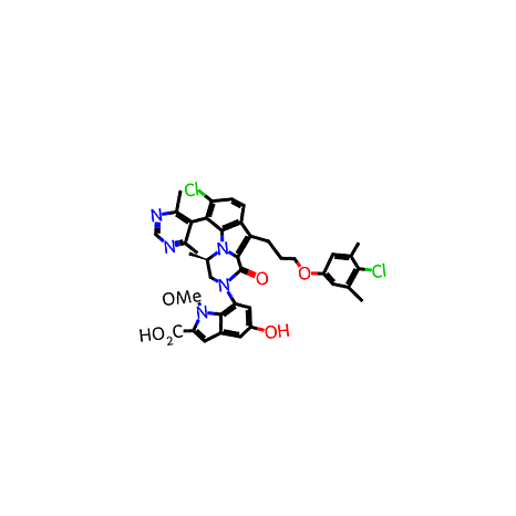 COn1c(C(=O)O)cc2cc(O)cc(N3C[C@@H](C)n4c(c(CCCOc5cc(C)c(Cl)c(C)c5)c5ccc(Cl)c(-c6c(C)ncnc6C)c54)C3=O)c21